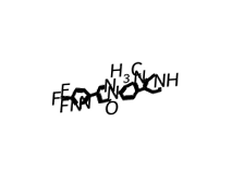 Cn1c2c(c3ccc(-n4ncc(-c5ccc(C(F)(F)F)nn5)cc4=O)cc31)CCNC2